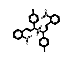 Cc1ccc(C(C=Cc2ccccc2[N+](=O)[O-])S(=O)(=O)C(C=Cc2ccccc2[N+](=O)[O-])c2ccc(C)cc2)cc1